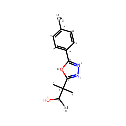 CCC(O)C(C)(C)c1nnc(-c2ccc(C(F)(F)F)cc2)o1